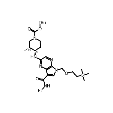 CCNC(=O)c1cn(COCC[Si](C)(C)C)c2ncc(N[C@@H]3CCN(C(=O)OC(C)(C)C)C[C@H]3C)nc12